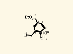 CCOC(=O)c1ccc(N)c(CCl)c1.Cl